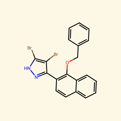 Brc1[nH]nc(-c2ccc3ccccc3c2OCc2ccccc2)c1Br